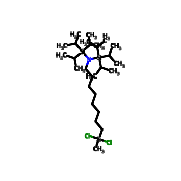 CC(C)[Si](C(C)C)(C(C)C)N(CCCCCCCC[Si](C)(Cl)Cl)[Si](C(C)C)(C(C)C)C(C)C